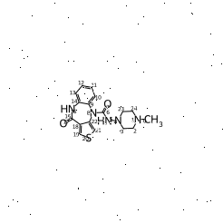 CN1CCN(NC(=O)N2c3ccccc3NC(=O)c3cscc32)CC1